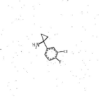 NC1(c2ccc(F)c(Cl)c2)CC1